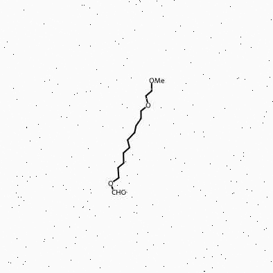 COCCOCCCCCCCCCCO[C]=O